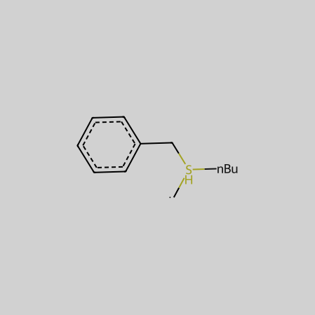 [CH2][SH](CCCC)Cc1ccccc1